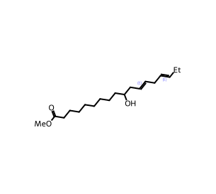 CC/C=C/C/C=C/CC(O)CCCCCCCCC(=O)OC